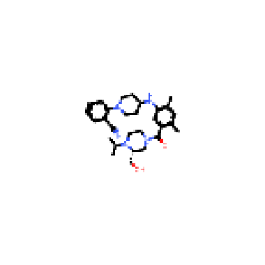 Cc1cc(C)c(C(=O)N2CCN(C(C)C)[C@@H](CO)C2)cc1NC1CCN(c2cc#ccc2C#N)CC1